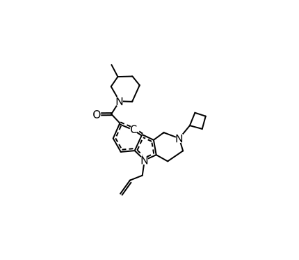 C=CCn1c2c(c3cc(C(=O)N4CCCC(C)C4)ccc31)CN(C1CCC1)CC2